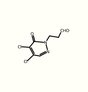 O=[C]CCn1ncc(Cl)c(Cl)c1=O